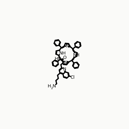 NCCCCc1cc(CCC(=O)NC23C=CC(N2)C(c2ccccc2)=C2C=CC(=N2)C(c2ccccc2)=c2ccc([nH]2)=C(c2ccccc2)C2=NC(=C3c3ccccc3)C=C2)nc2cc(Cl)ccc12